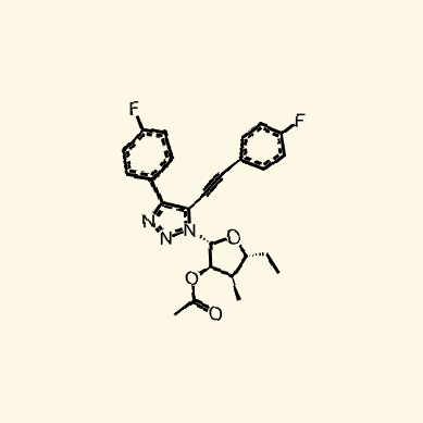 CC[C@H]1O[C@@H](n2nnc(-c3ccc(F)cc3)c2C#Cc2ccc(F)cc2)[C@H](OC(C)=O)[C@@H]1C